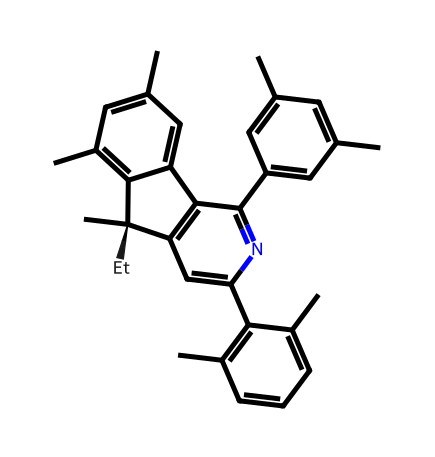 CC[C@]1(C)c2cc(-c3c(C)cccc3C)nc(-c3cc(C)cc(C)c3)c2-c2cc(C)cc(C)c21